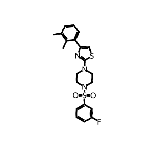 Cc1cccc(-c2csc(N3CCN(S(=O)(=O)c4cccc(F)c4)CC3)n2)c1C